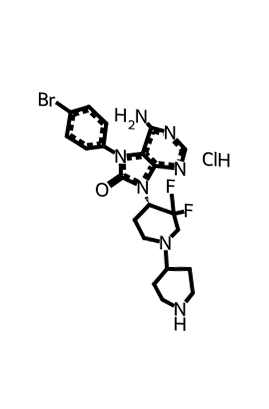 Cl.Nc1ncnc2c1n(-c1ccc(Br)cc1)c(=O)n2[C@H]1CCN(C2CCNCC2)CC1(F)F